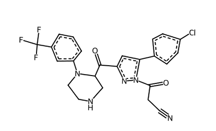 N#CCC(=O)n1nc(C(=O)C2CNCCN2c2cccc(C(F)(F)F)c2)cc1-c1ccc(Cl)cc1